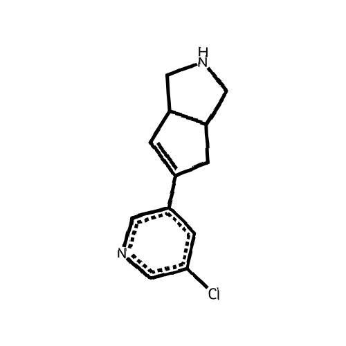 Clc1cncc(C2=CC3CNCC3C2)c1